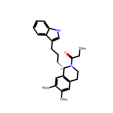 COCC(=O)N1CCc2cc(OC)c(OC)cc2[C@@H]1CCCc1c[nH]c2ccccc12